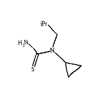 CC(C)CN(C(N)=S)C1CC1